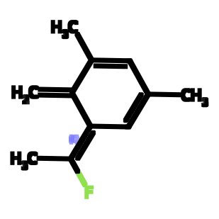 C=c1c(C)cc(C)c/c1=C(/C)F